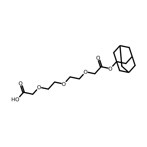 O=C(O)COCCOCCOCC(=O)OC12CC3CC(CC(C3)C1)C2